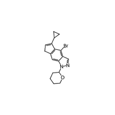 Brc1c2c(cc3c1cnn3C1CCCCO1)CC=C2C1CC1